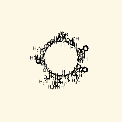 CCCCC[C@H]1C(=O)N(C)[C@@H](CCCC)C(=O)N[C@@H](CCCNC(=N)N)C(=O)N[C@H](C(=O)NCC(N)=O)CSCC(=O)N[C@@H](Cc2ccc(O)cc2)C(=O)N(C)[C@@H](C)C(=O)N[C@@H](CC(N)=O)C(=O)N2CCC[C@H]2C(=O)N[C@@H](Cc2cnc[nH]2)C(=O)N[C@@H](CCC(=O)O)C(=O)N2C[C@H](O)C[C@H]2C(=O)N[C@@H](Cc2c[nH]c3ccccc23)C(=O)N[C@@H](CO)C(=O)N[C@@H](Cc2c[nH]c3ccccc23)C(=O)N1C